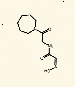 O=C(/C=N\O)NCC(=O)N1CCCCCC1